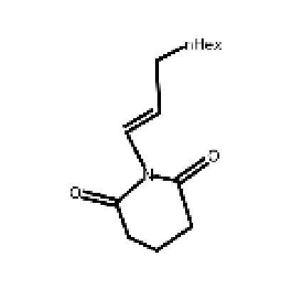 CCCCCCCC=CN1C(=O)CCCC1=O